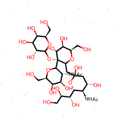 CC(=O)N[C@H]1[C@H]([C@H](O)[C@H](O)CO)O[C@](O)(C[C]2O[C@H](CO)[C@H](O)[C@H](O)[C@]2(OC2O[C@H](CO)[C@H](O)[C@H](O)[C@H]2O)C2O[C@H](CO)[C@H](O)[C@H](O)[C@H]2NC(C)=O)C[C@@H]1O